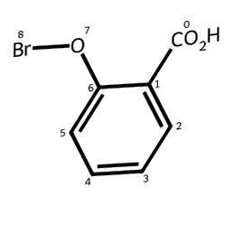 O=C(O)c1ccccc1OBr